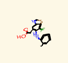 Cc1ccccc1Nc1c(CC(=O)O)cc2ncsc2c1F